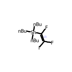 CCC[CH2][Sn]([CH2]CCC)([CH2]CCC)/[C](F)=C(/F)I